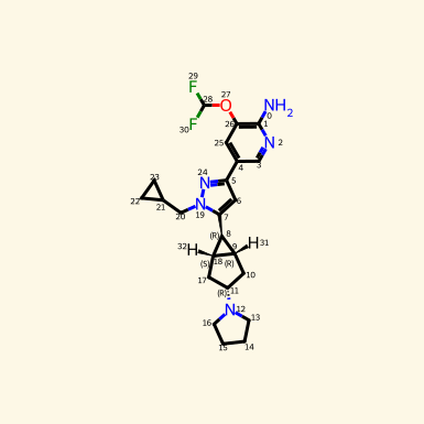 Nc1ncc(-c2cc([C@H]3[C@@H]4C[C@H](N5CCCC5)C[C@@H]43)n(CC3CC3)n2)cc1OC(F)F